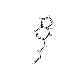 O=COCc1ccc2occc2c1